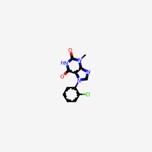 Cn1c(=O)[nH]c(=O)c2c1ncn2-c1ccccc1Cl